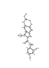 CCN1CCc2nc3sc(C(=O)Nc4ccc(F)cc4F)c(N)c3cc2C1